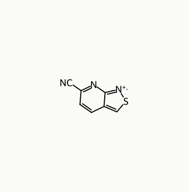 N#Cc1ccc2c(n1)=[N+]SC=2